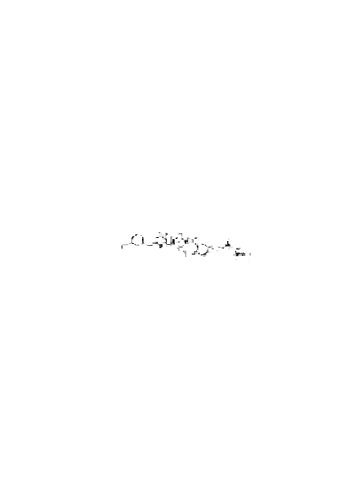 CN1C(=O)[C@@H](NC(=O)n2cc(Cc3cccc(F)c3)cn2)COc2ccc(OCC(=O)N3CC(C)(O)C3)cc21